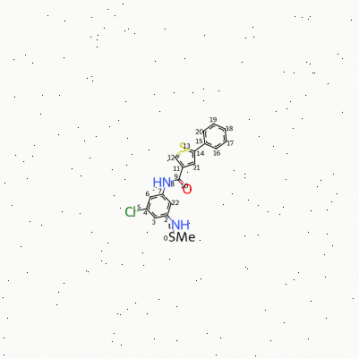 CSNc1cc(Cl)cc(NC(=O)c2csc(-c3ccccc3)c2)c1